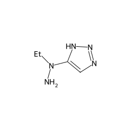 CCN(N)c1cnn[nH]1